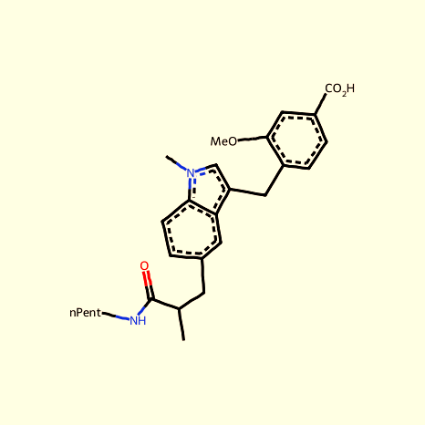 CCCCCNC(=O)C(C)Cc1ccc2c(c1)c(Cc1ccc(C(=O)O)cc1OC)cn2C